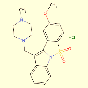 COc1ccc2c(c1)-c1c(CN3CCN(C)CC3)c3ccccc3n1S2(=O)=O.Cl